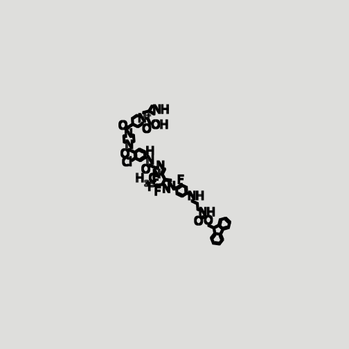 Cn1c(-c2cn(-c3ccc(NCCCNC(=O)OCC4c5ccccc5-c5ccccc54)cc3F)nc2C(F)(F)F)cnc1C(=O)Nc1ccc(C(=O)N2CCN(C(=O)C3CC[N+](CC(=O)O)(CC4CNC4)CC3)CC2)c(Cl)c1